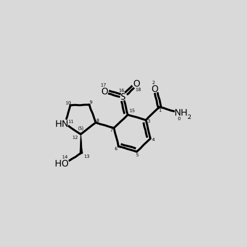 NC(=O)C1=CC=CC(C2CCN[C@@H]2CO)C1=S(=O)=O